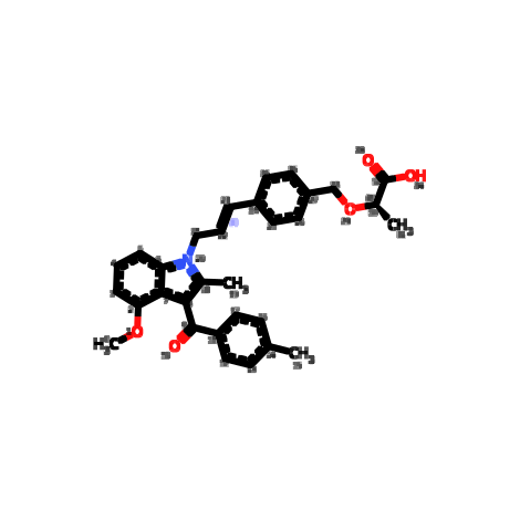 COc1cccc2c1c(C(=O)c1ccc(C)cc1)c(C)n2C/C=C/c1ccc(CO[C@H](C)C(=O)O)cc1